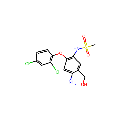 CS(=O)(=O)Nc1cc(CO)c(N)cc1Oc1ccc(Cl)cc1Cl